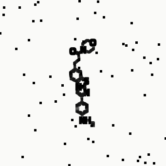 Nc1ccc(-c2cn3c(n2)sc2cc(CCC(=O)N4CCOCC4)ccc23)cc1